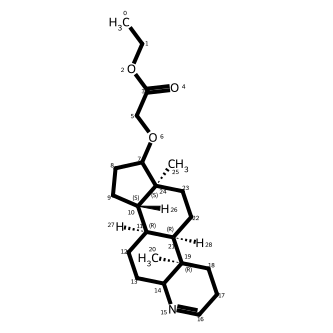 CCOC(=O)COC1CC[C@H]2[C@@H]3CCC4N=CCC[C@]4(C)[C@@H]3CC[C@]12C